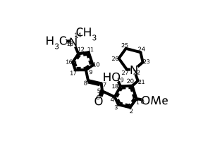 COc1ccc(C(=O)/C=C/c2ccc(N(C)C)cc2)c(O)c1CN1CCCCC1